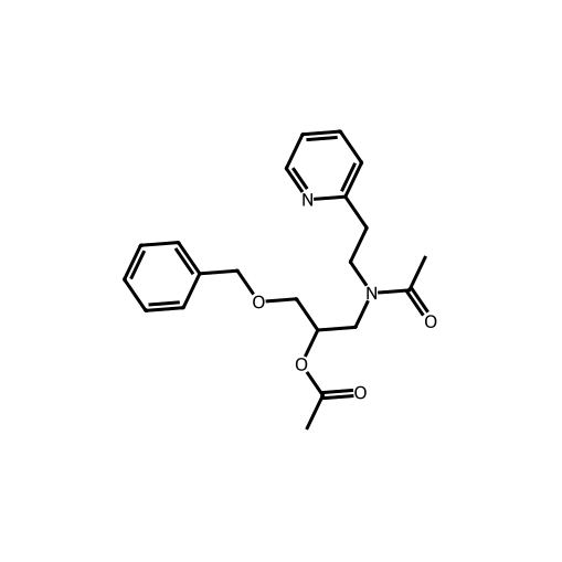 CC(=O)OC(COCc1ccccc1)CN(CCc1ccccn1)C(C)=O